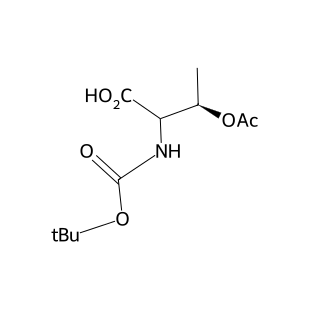 CC(=O)O[C@H](C)C(NC(=O)OC(C)(C)C)C(=O)O